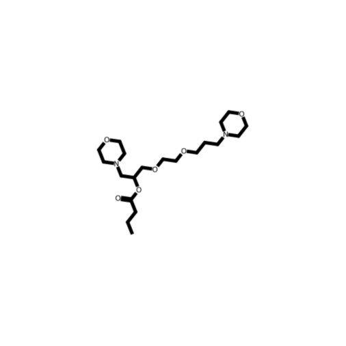 CCCC(=O)OC(COCCOCCCN1CCOCC1)CN1CCOCC1